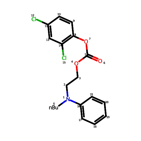 CCCCN(CCOC(=O)Oc1ccc(Cl)cc1Cl)c1ccccc1